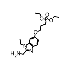 CCOP(=O)(CCCOc1ccc2nc(CN)n(CC)c2c1)OCC